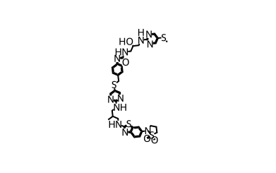 CSc1cnc(NCC(O)CNc2nc3ccc(CSc4cnc(NCC(C)CNc5nc6ccc(N7CCCS7(=O)=O)cc6s5)nc4)cc3o2)nc1